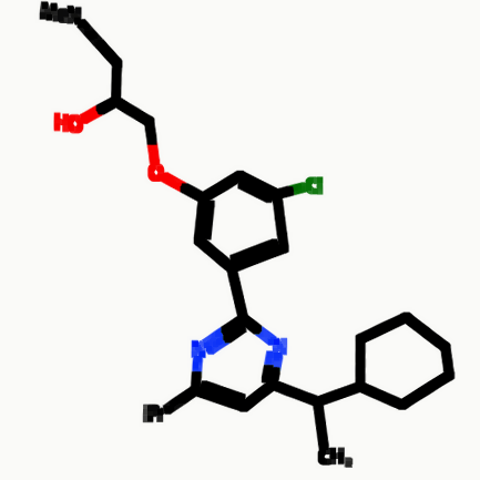 CNCC(O)COc1cc(Cl)cc(-c2nc(C(C)C)cc(C(C)C3CCCCC3)n2)c1